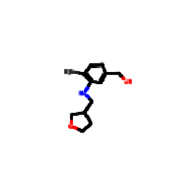 O=[N+]([O-])c1ccc(CO)cc1NCC1CCOC1